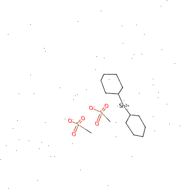 C1CC[CH]([Sn+2][CH]2CCCCC2)CC1.CS(=O)(=O)[O-].CS(=O)(=O)[O-]